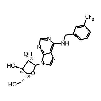 OC[C@H]1OC(n2cnc3c(NCc4cccc(C(F)(F)F)c4)ncnc32)[C@@H](O)[C@@H]1O